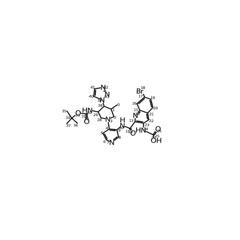 CC1CN(c2ccncc2NC(=O)c2nc3cc(Br)ccc3cc2NC(=O)O)CC(NC(=O)OC(C)(C)C)C1n1ccnn1